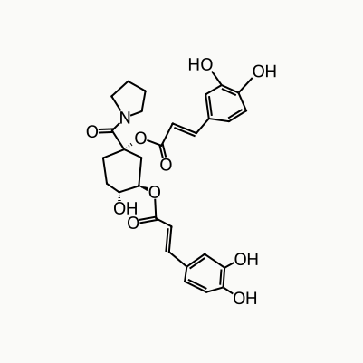 O=C(/C=C/c1ccc(O)c(O)c1)O[C@@H]1C[C@](OC(=O)/C=C/c2ccc(O)c(O)c2)(C(=O)N2CCCC2)CC[C@H]1O